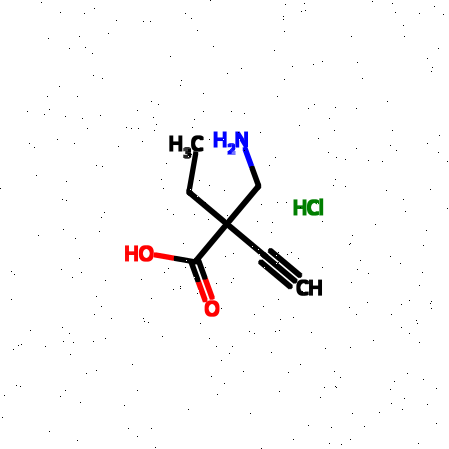 C#CC(CC)(CN)C(=O)O.Cl